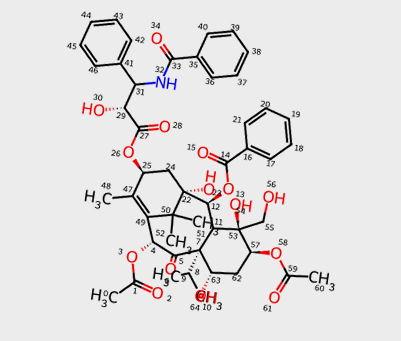 CC(=O)O[C@H]1C(=O)[C@@]2(C(C)C)C([C@H](OC(=O)c3ccccc3)[C@]3(O)C[C@H](OC(=O)[C@H](O)C(NC(=O)c4ccccc4)c4ccccc4)C(C)=C1C3(C)C)[C@](O)(CO)[C@@H](OC(C)=O)C[C@@H]2O